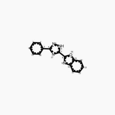 c1ccc(-c2n[nH]c(-c3nc4ccccc4o3)n2)cc1